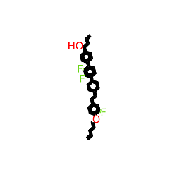 C=CCCCOc1ccc(CCC2CCC(c3ccc(-c4ccc(C(O)CCC)cc4)c(F)c3F)CC2)cc1F